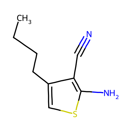 CCCCc1csc(N)c1C#N